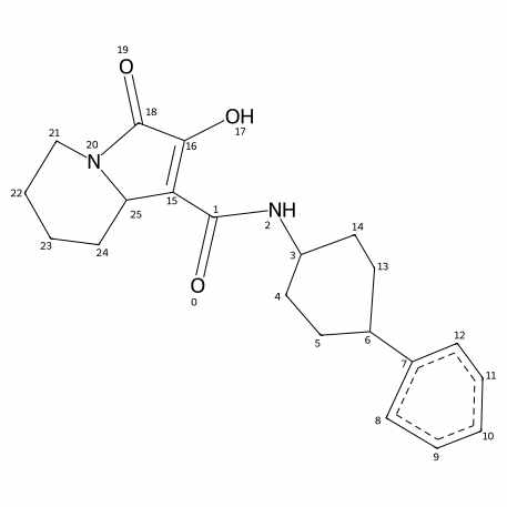 O=C(NC1CCC(c2ccccc2)CC1)C1=C(O)C(=O)N2CCCCC12